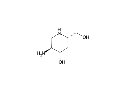 N[C@H]1CN[C@H](CO)C[C@@H]1O